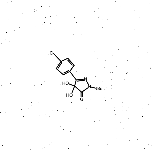 CC(C)(C)N1N=C(c2ccc(Cl)cc2)C(O)(O)C1=O